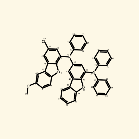 COc1ccc2oc3c(N(c4ccccc4)c4cc(N(c5ccccc5)c5ccccc5)c5oc6ccccc6c5c4)cc(Cl)cc3c2c1